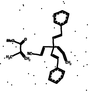 C=C(C)C(=O)OC.C=C=CC(C=CC#N)(C=Cc1ccccc1)C=Cc1ccccc1